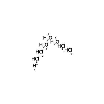 Cl.Cl.Cl.Cl.O.O.O.[H+]